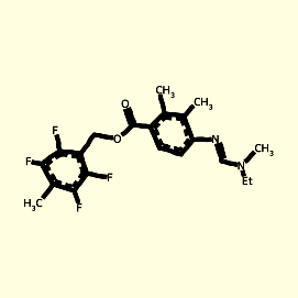 CCN(C)/C=N/c1ccc(C(=O)OCc2c(F)c(F)c(C)c(F)c2F)c(C)c1C